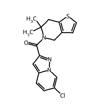 CC1(C)Cc2sccc2CN1C(=O)c1cc2ccc(Cl)cn2n1